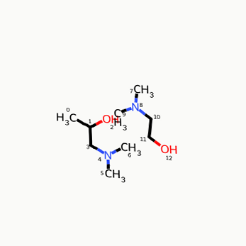 CC(O)CN(C)C.CN(C)CCO